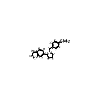 CSc1ccc(CN2CCCC2c2ccc3c(c2)OCC3)cc1